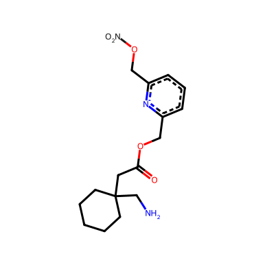 NCC1(CC(=O)OCc2cccc(CO[N+](=O)[O-])n2)CCCCC1